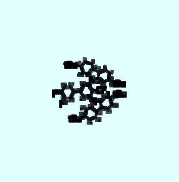 CC(C)(C)c1ccc2c3ccc(C(C)(C)C)cc3n(-c3cc(-c4ccc(F)c(F)c4)cc(-n4c5cc(C(C)(C)C)ccc5c5ccc(C(C)(C)C)cc54)c3C(F)(F)F)c2c1